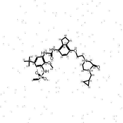 C=CS(=O)(=O)Nc1cc(C(C)(C)C)cc(NC(=O)Nc2ccc(OCCN3CCN(CC4CC4)C(=O)C3)c3c2CCC3)c1OC